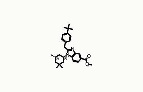 COC(=O)c1ccc2c(c1)nc(Cc1ccc(C(C)(C)C)cc1)n2[C@@H]1C[C@H](C)CC(C)(C)C1